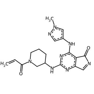 C=CC(=O)N1CCCC(Nc2nc3c(c(Nc4cnn(C)c4)n2)C(=O)N=C3)C1